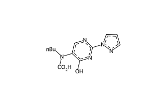 CCCCN(C(=O)O)c1cnc(-n2cccn2)nc1O